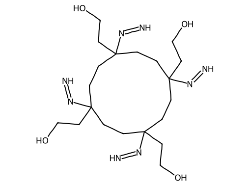 N=NC1(CCO)CCC(CCO)(N=N)CCC(CCO)(N=N)CCC(CCO)(N=N)CC1